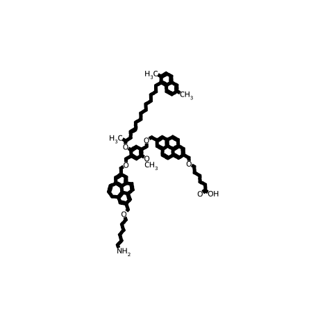 COc1cc(COCc2cc3c4c(ccc5cc(COCCCCCCN)cc(c54)CC=C3)c2)c(OC(C)C/C=C/CCCCCCCCCc2c(C)ccc3cc(C)ccc23)cc1COCc1cc2ccc3cc(COCCCCCC(=O)O)cc4ccc(c1)c2c34